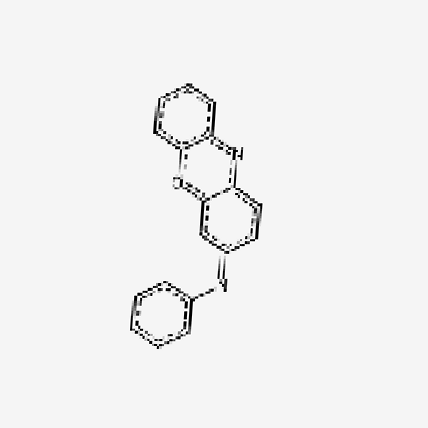 c1ccc(N=c2ccc3nc4ccccc4oc-3c2)cc1